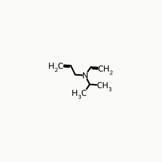 C=CCN(C=C)C(C)C